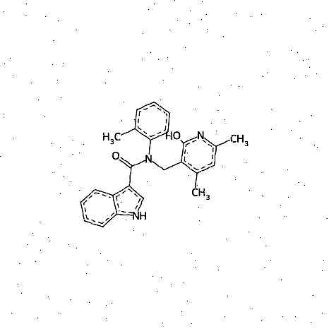 Cc1cc(C)c(CN(C(=O)c2c[nH]c3ccccc23)c2ccccc2C)c(O)n1